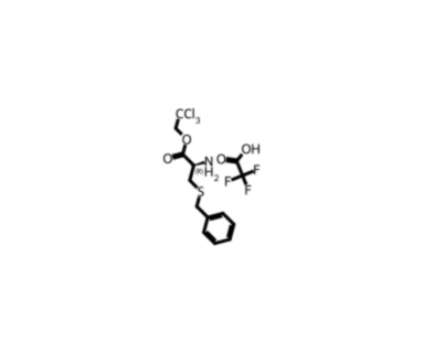 N[C@@H](CSCc1ccccc1)C(=O)OCC(Cl)(Cl)Cl.O=C(O)C(F)(F)F